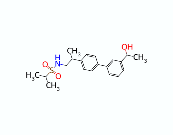 CC(O)c1cccc(-c2ccc(C(C)CNS(=O)(=O)C(C)C)cc2)c1